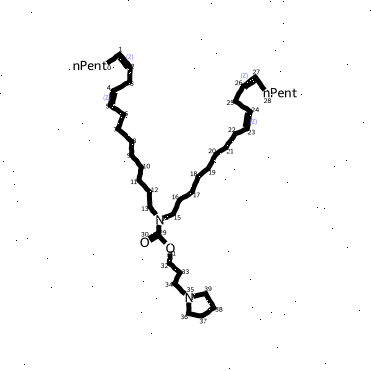 CCCCC/C=C\C/C=C\CCCCCCCCN(CCCCCCCC/C=C\C/C=C\CCCCC)C(=O)OCCCN1CCCC1